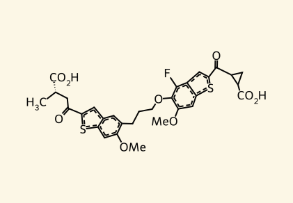 COc1cc2sc(C(=O)C[C@H](C)C(=O)O)cc2cc1CCCOc1c(OC)cc2sc(C(=O)C3CC3C(=O)O)cc2c1F